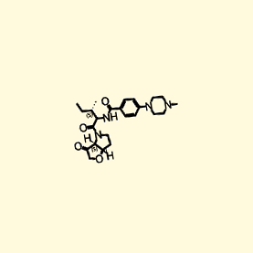 CC[C@H](C)C(NC(=O)c1ccc(N2CCN(C)CC2)cc1)C(=O)N1CC[C@H]2OCC(=O)[C@H]21